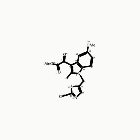 COC(=O)C(=O)c1c(C)n(Cc2cnc(Cl)s2)c2ccc(OC)cc12